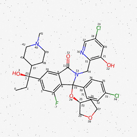 CC[C@@](O)(c1cc(F)c2c(c1)C(=O)N(Cc1ncc(Cl)cc1O)C2(O[C@H]1CCOC1)c1ccc(Cl)cc1)C1CCN(C)CC1